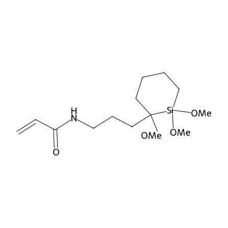 C=CC(=O)NCCCC1(OC)CCCC[Si]1(OC)OC